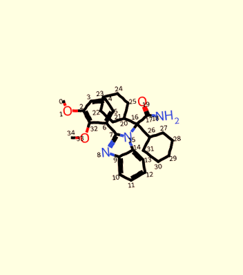 COc1cccc(-c2nc3ccccc3n2C(C(N)=O)(C2CCCCC2)C2CCCCC2)c1OC